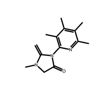 C=C1N(C)CC(=O)N1c1nc(C)c(C)c(C)c1C